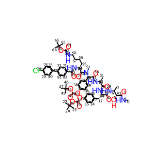 CNC(=O)C(O)C(C)NC(=O)[C@H](Cc1ccc(OC(=O)OC(C)(C)C)cc1)NC(=O)[C@H](C)NC(=O)[C@H](c1ccc(OC(=O)OC(C)(C)C)cc1)N(C)C(=O)[C@H](CCCCNC(=O)OC(C)(C)C)NC(=O)c1ccc(-c2ccc(Cl)cc2)cc1